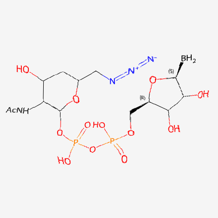 B[C@@H]1O[C@H](COP(=O)(O)OP(=O)(O)OC2OC(CN=[N+]=[N-])CC(O)C2NC(C)=O)C(O)C1O